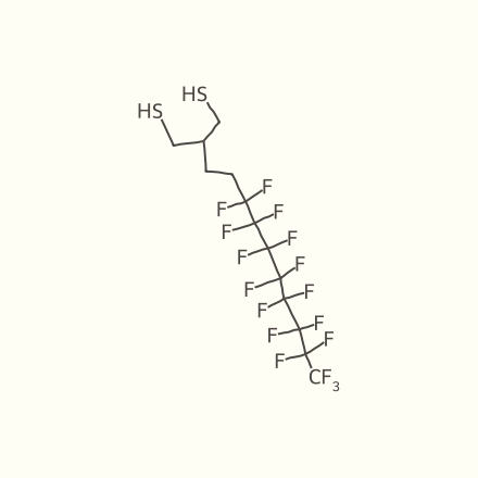 FC(F)(F)C(F)(F)C(F)(F)C(F)(F)C(F)(F)C(F)(F)C(F)(F)C(F)(F)CCC(CS)CS